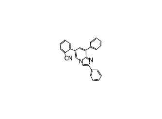 N#Cc1ccccc1-c1cc(-c2ccccc2)c2nc(-c3ccccc3)cn2c1